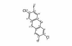 Fc1cc2c(cc1Cl)Sc1cc(F)c(Cl)cc1S2